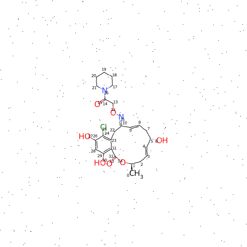 C[C@@H]1C/C=C/[C@@H](O)C/C=C/C(=N/OCC(=O)N2CCCCC2)Cc2c(Cl)c(O)cc(O)c2C(=O)O1